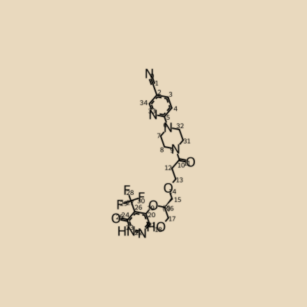 N#Cc1ccc(N2CCN(C(=O)CCOC[C@@H](CO)Oc3cn[nH]c(=O)c3C(F)(F)F)CC2)nc1